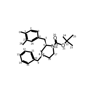 Cc1ccc(C[C@@H]2CN(Cc3ccccc3)CCN2C(=O)OC(C)(C)C)cc1C